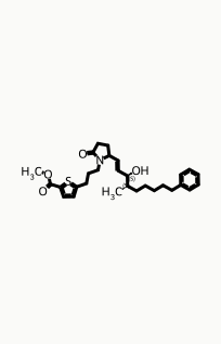 COC(=O)c1ccc(CCCN2C(=O)CCC2C=C[C@@H](O)[C@@H](C)CCCCCc2ccccc2)s1